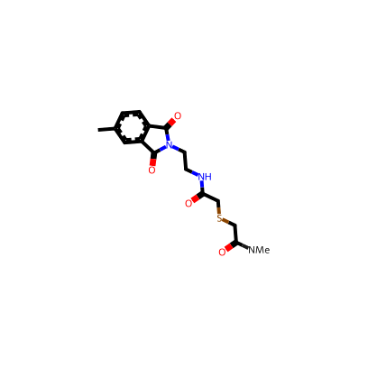 CNC(=O)CSCC(=O)NCCN1C(=O)c2ccc(C)cc2C1=O